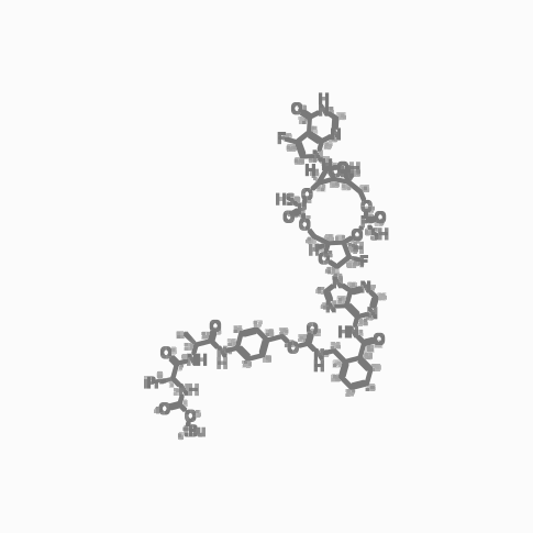 CC(C)[C@H](NC(=O)OC(C)(C)C)C(=O)N[C@@H](C)C(=O)Nc1ccc(COC(=O)NCc2ccccc2C(=O)Nc2ncnc3c2ncn3[C@@H]2O[C@@H]3CO[P@@](=O)(S)O[C@@H]4[C@H](O)[C@@H](COP(=O)(S)O[C@H]3[C@H]2F)O[C@H]4n2cc(F)c3c(=O)[nH]cnc32)cc1